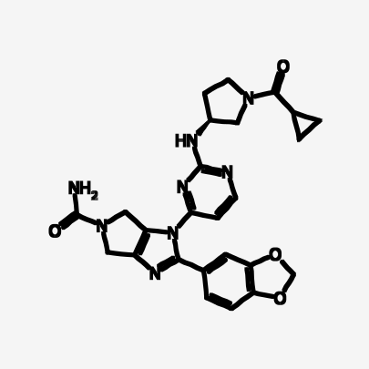 NC(=O)N1Cc2nc(-c3ccc4c(c3)OCO4)n(-c3ccnc(N[C@H]4CCN(C(=O)C5CC5)C4)n3)c2C1